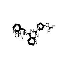 FC(F)OC1CCN(c2nc(NCc3cccnc3C(F)(F)F)c3cccnc3n2)C1